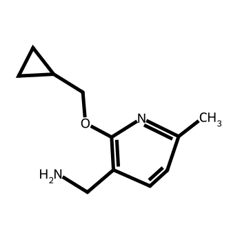 Cc1ccc(CN)c(OCC2CC2)n1